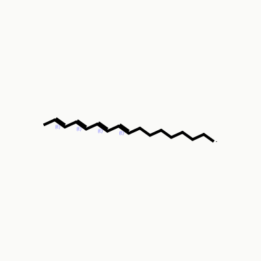 [CH2]CCCCCCC/C=C/C=C/C=C/C=C/C